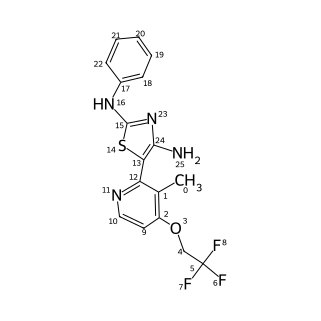 Cc1c(OCC(F)(F)F)ccnc1-c1sc(Nc2ccccc2)nc1N